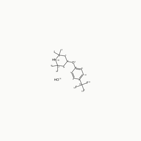 CC1(C)CC(Oc2ccc(C(F)(F)F)cc2)CC(C)(C)N1.Cl